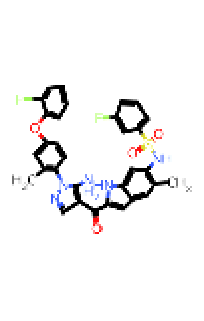 Cc1cc2cc(C(=O)c3cnn(-c4ccc(Oc5ccccc5F)cc4C)c3N)[nH]c2cc1NS(=O)(=O)c1cccc(F)c1